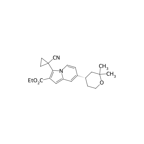 CCOC(=O)c1cc2cc([C@H]3CCOC(C)(C)C3)ccn2c1C1(C#N)CC1